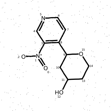 O=[N+]([O-])c1cnccc1C1CC(O)CCO1